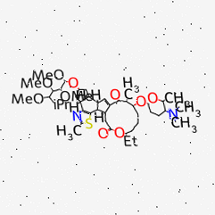 CC[C@H]1CCC[C@H](O[C@H]2CC[C@H](N(C)C)C(C)O2)[C@@H](C)C(=O)C2=C[C@@H]3C(c4sc(C)nc4[C@@H]4C[C@@H](OC(OC)C(OC)C(OC)C(OC)C(C)C)C[C@@H]34)[C@@H]2CC(=O)O1